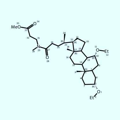 CCO[C@@H]1CC[C@@]2(C)C(C1)C[C@@H](OCC)C1C2CC[C@@]2(C)C1CC[C@@H]2[C@H](C)CCC(=O)N(C)CCC(=O)OC